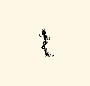 CCn1cc(-c2ccc(Cl)cc2Cl)nc1/C=C/c1ccc(-c2cccc(OCCCC(=O)OC)c2)cc1F